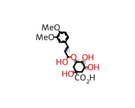 COc1ccc(/C=C/C(O)O[C@@H]2C[C@](O)(C(=O)O)C[C@@H](O)[C@H]2O)cc1OC